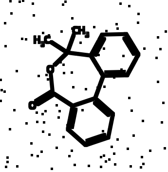 CC1(C)OC(=O)c2ccccc2-c2ccccc21